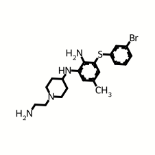 Cc1cc(NC2CCN(CCN)CC2)c(N)c(Sc2cccc(Br)c2)c1